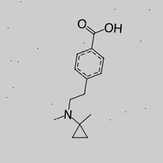 CN(CCc1ccc(C(=O)O)cc1)C1(C)CC1